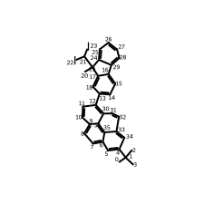 CC(C)(C)c1cc2ccc3ccc(-c4ccc5c(c4)C(C)(C(I)I)c4ccccc4-5)c4ccc(c1)c2c34